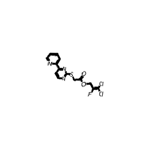 O=C(CSc1nccc(-c2ccccn2)n1)OCC(F)=C(Cl)Cl